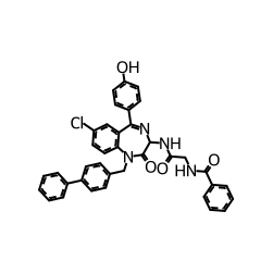 O=C(CNC(=O)c1ccccc1)NC1N=C(c2ccc(O)cc2)c2cc(Cl)ccc2N(Cc2ccc(-c3ccccc3)cc2)C1=O